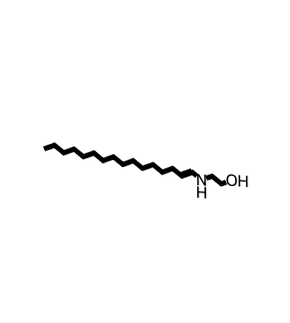 CCCCCCCCCCCCCCC=CNCCO